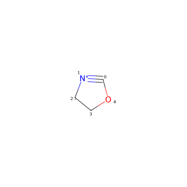 C1#[N+][CH]CO1